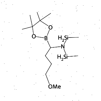 COCCCC(B1OC(C)(C)C(C)(C)O1)N([SiH2]C)[SiH2]C